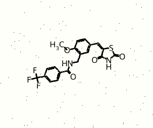 COc1ccc(C=C2SC(=O)NC2=O)cc1CNC(=O)c1ccc(C(F)(F)F)cc1